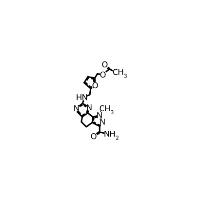 CC(=O)OCc1ccc(CNc2ncc3c(n2)-c2c(c(C(N)=O)nn2C)CC3)o1